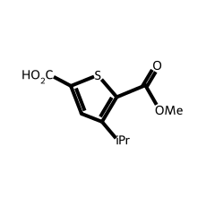 COC(=O)c1sc(C(=O)O)cc1C(C)C